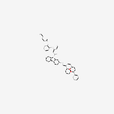 C=C(/C=C\C=C/C)SC1=C(NC(/C=C\C)=C/C(C)n2c3ccccc3c3ccc(N/C=C(\C=C/c4ccc(C5=CC=CCC5)cc4)c4ccccc4)cc32)C=CCC1